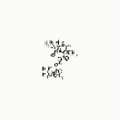 CC1=C(C(=O)OCOC(=O)C(C)(C)C)N2C(=O)C(N)[C@H]2SC1